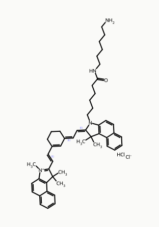 C[N+]1=C(/C=C/C2=CC(=C/C=C3/N(CCCCCC(=O)NCCCCCCN)c4ccc5ccccc5c4C3(C)C)/CCC2)C(C)(C)c2c1ccc1ccccc21.Cl.[Cl-]